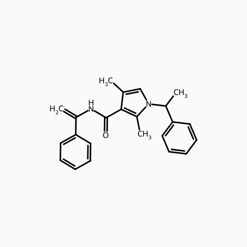 C=C(NC(=O)c1c(C)cn(C(C)c2ccccc2)c1C)c1ccccc1